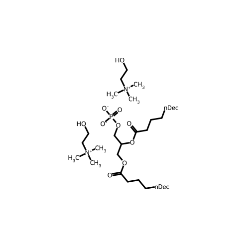 CCCCCCCCCCCCCC(=O)OCC(COP(=O)([O-])[O-])OC(=O)CCCCCCCCCCCCC.C[N+](C)(C)CCO.C[N+](C)(C)CCO